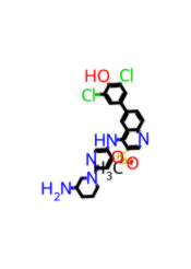 CS(=O)(=O)c1cnc2ccc(-c3cc(Cl)c(O)c(Cl)c3)cc2c1Nc1ccc(N2CCCC(N)C2)nc1